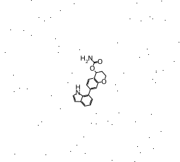 NC(=O)OC1CCOc2cc(-c3cccc4cc[nH]c34)ccc21